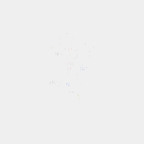 CS(=O)(=O)C1(F)C(c2cccc(F)c2)=CC=CC1NC(=O)[C@@H]1C[C@@H](F)CN1C(=O)O